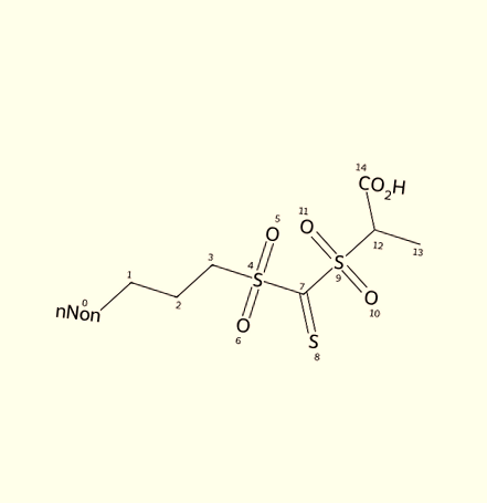 CCCCCCCCCCCCS(=O)(=O)C(=S)S(=O)(=O)C(C)C(=O)O